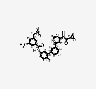 Cc1ccc(NC(=O)c2cc(CN(C)C)cc(C(F)(F)F)c2)cc1-c1cccc(-c2cc(NC(=O)C3CC3)ncn2)c1